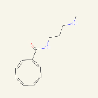 CNCCCNC(=O)C1=C/C=C\C=C/C=C\1